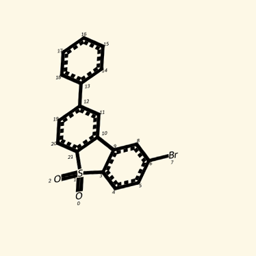 O=S1(=O)c2ccc(Br)cc2-c2cc(-c3ccccc3)ccc21